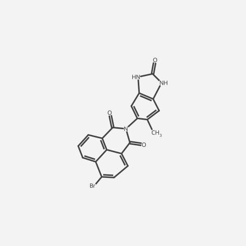 Cc1cc2[nH]c(=O)[nH]c2cc1N1C(=O)c2cccc3c(Br)ccc(c23)C1=O